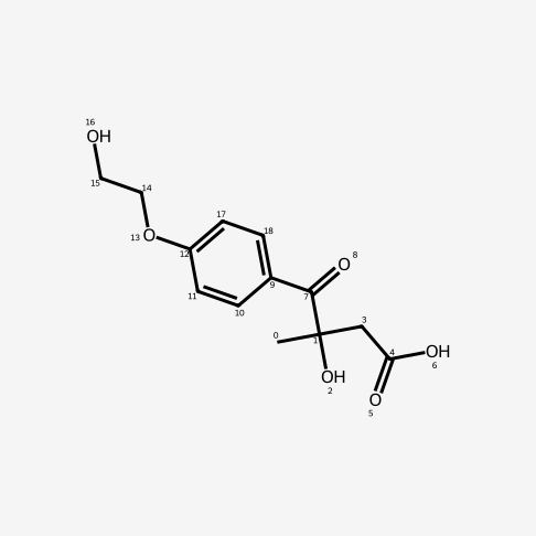 CC(O)(CC(=O)O)C(=O)c1ccc(OCCO)cc1